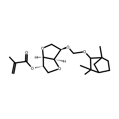 C=C(C)C(=O)O[C@H]1CO[C@H]2[C@@H]1OC[C@H]2OCOC1C2(C)CCC(C2)C1(C)C